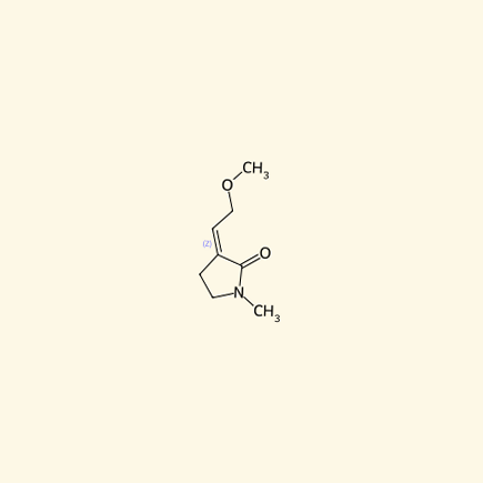 COC/C=C1/CCN(C)C1=O